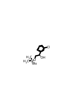 CC(C)(C)[Si](C)(C)OC[C@H](O)c1cccc(Cl)c1